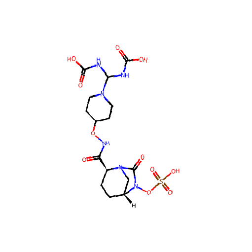 O=C(O)NC(NC(=O)O)N1CCC(ONC(=O)[C@@H]2CC[C@@H]3CN2C(=O)N3OS(=O)(=O)O)CC1